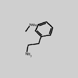 CNC.NCCc1ccccc1